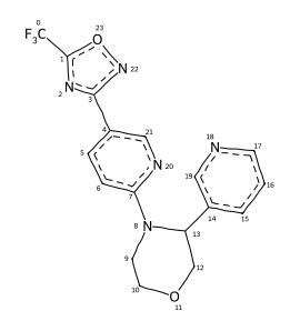 FC(F)(F)c1nc(-c2ccc(N3CCOCC3c3cccnc3)nc2)no1